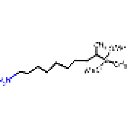 CO[Si](C)(OC)C(C)CCCCCCCCN